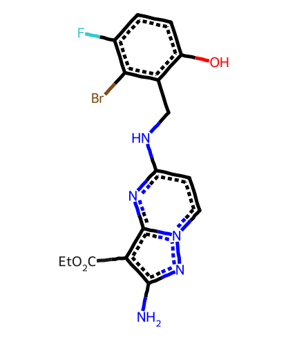 CCOC(=O)c1c(N)nn2ccc(NCc3c(O)ccc(F)c3Br)nc12